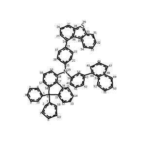 c1ccc(C2(c3ccccc3)c3ccccc3-c3c(N(c4ccc(-c5cccc6sc7ccccc7c56)cc4)c4cccc(-c5cccc6ccccc56)c4)cccc32)cc1